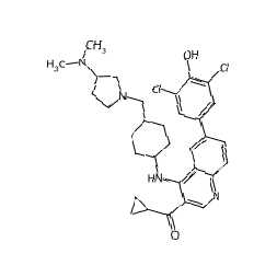 CN(C)C1CCN(CC2CCC(Nc3c(C(=O)C4CC4)cnc4ccc(-c5cc(Cl)c(O)c(Cl)c5)cc34)CC2)C1